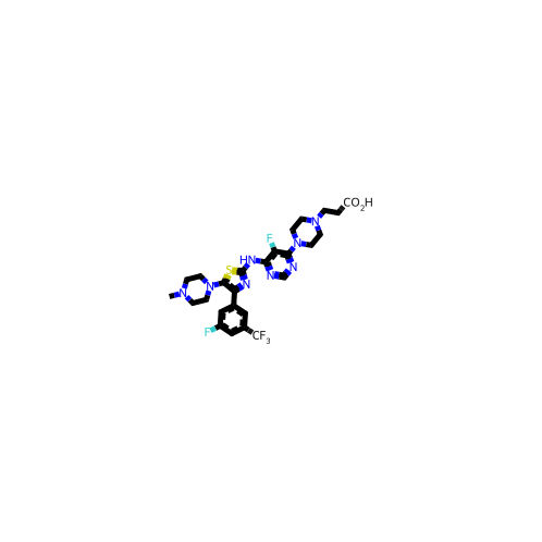 CN1CCN(c2sc(Nc3ncnc(N4CCN(CCC(=O)O)CC4)c3F)nc2-c2cc(F)cc(C(F)(F)F)c2)CC1